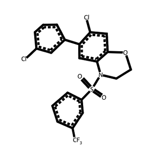 O=S(=O)(c1cccc(C(F)(F)F)c1)N1CCOc2cc(Cl)c(-c3cccc(Cl)c3)cc21